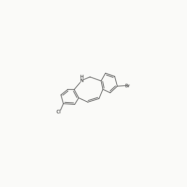 Clc1ccc2c(c1)/C=C\c1cc(Br)ccc1CN2